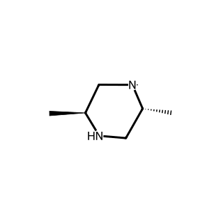 C[C@@H]1CN[C@@H](C)C[N]1